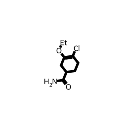 CCOC1=C(Cl)CCC(C(N)=O)C1